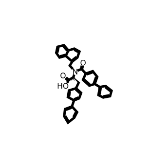 O=C(O)[C@H](Cc1ccc(-c2ccccc2)cc1)N(Cc1cccc2ccccc12)C(=O)c1ccc(-c2ccccc2)cc1